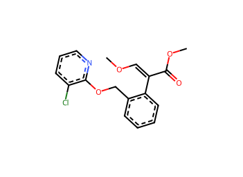 CO/C=C(/C(=O)OC)c1ccccc1COc1ncccc1Cl